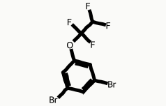 FC(F)C(F)(F)Oc1cc(Br)[c]c(Br)c1